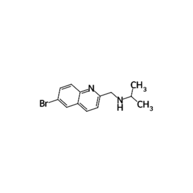 CC(C)NCc1ccc2cc(Br)ccc2n1